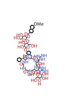 CCC(c1ccccc1)C1NC(=O)CNC(=O)C(CO)NC(=O)C(C(O)C2CNC(=N)N2C2OC(CO)C(O)C(O)C2O)NC(=O)C(C(O)C2CNC(=N)N2)NC(=O)C(Cc2ccc(OC3OC(CO)C(OC4OC(CO)C(O)C5OC(c6ccc7cc(OC)ccc7c6)OC45)C(O)C3O)cc2)NC1=O